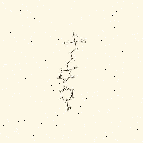 C[Si](C)(C)CCOC[N+]1(F)N=NC(c2ccc(O)cc2)=N1